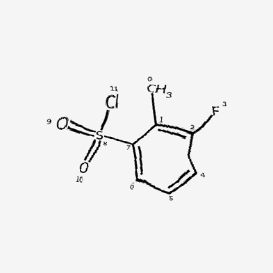 Cc1c(F)cccc1S(=O)(=O)Cl